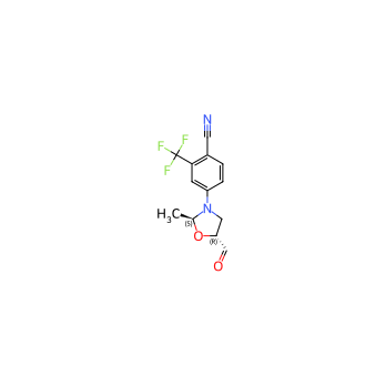 C[C@@H]1O[C@@H](C=O)CN1c1ccc(C#N)c(C(F)(F)F)c1